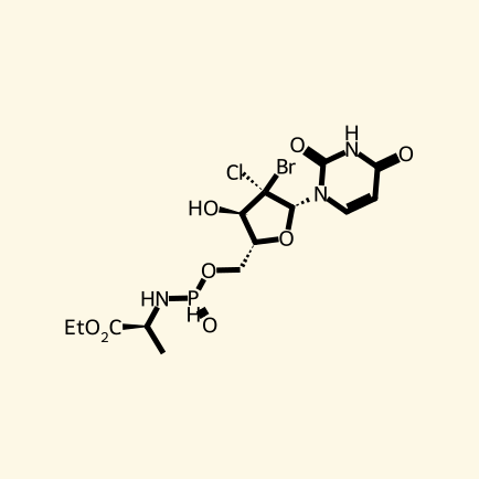 CCOC(=O)[C@H](C)N[PH](=O)OC[C@H]1O[C@@H](n2ccc(=O)[nH]c2=O)[C@](Cl)(Br)[C@@H]1O